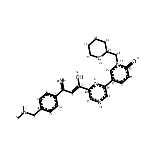 CNCc1ccc(C(=N)/C=C(\O)c2cncc(-c3ccc(=O)n(CC4CCCCO4)c3)n2)cc1